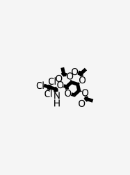 CC(=O)O[C@H]1[C@H](OC(C)=O)COC(OC(=N)C(Cl)(Cl)Cl)[C@@H]1OC(C)=O